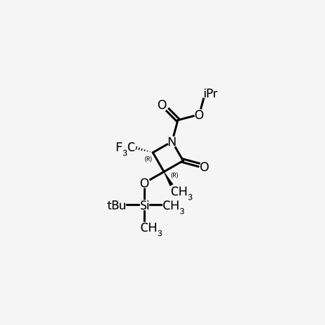 CC(C)OC(=O)N1C(=O)[C@](C)(O[Si](C)(C)C(C)(C)C)[C@@H]1C(F)(F)F